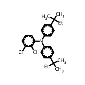 CCC(C)(C)c1ccc(N(c2ccc(C(C)(C)CC)cc2)c2cccc(Cl)c2Cl)cc1